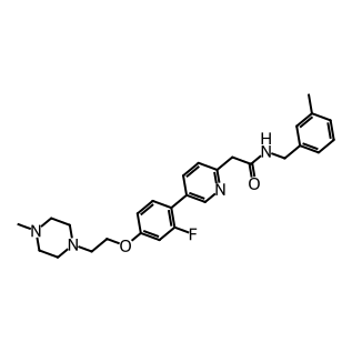 Cc1cccc(CNC(=O)Cc2ccc(-c3ccc(OCCN4CCN(C)CC4)cc3F)cn2)c1